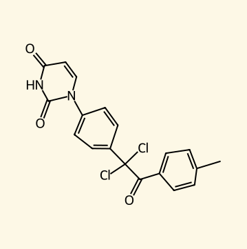 Cc1ccc(C(=O)C(Cl)(Cl)c2ccc(-n3ccc(=O)[nH]c3=O)cc2)cc1